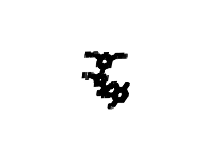 COc1nc(OC)nc(-n2nc(S(=O)(=O)Nc3c(Cl)ccc(C)c3Cl)nc2N)n1